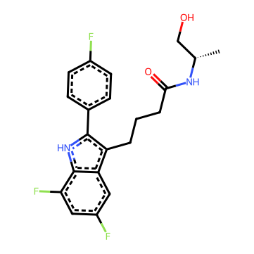 C[C@@H](CO)NC(=O)CCCc1c(-c2ccc(F)cc2)[nH]c2c(F)cc(F)cc12